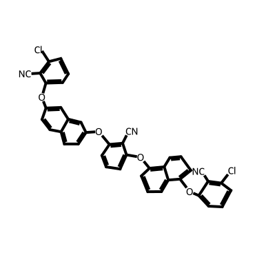 N#Cc1c(Cl)cccc1Oc1ccc2ccc(Oc3cccc(Oc4cccc5c(Oc6cccc(Cl)c6C#N)cccc45)c3C#N)cc2c1